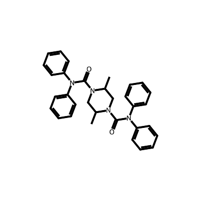 CC1CN(C(=O)N(c2ccccc2)c2ccccc2)C(C)CN1C(=O)N(c1ccccc1)c1ccccc1